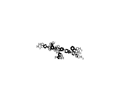 COC(=O)N1CCN(C2CC3(CCN(c4ccc(C(=O)NS(=O)(=O)c5cc6c(c([N+](=O)[O-])c5)N[C@@H]([C@H]5CC[C@](C)(O)CC5)CO6)c(Oc5cnc6[nH]cc(F)c6c5)c4)CC3)C2)[C@@H](c2ccccc2C(C)C)C1